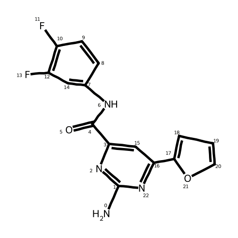 Nc1nc(C(=O)Nc2ccc(F)c(F)c2)cc(-c2ccco2)n1